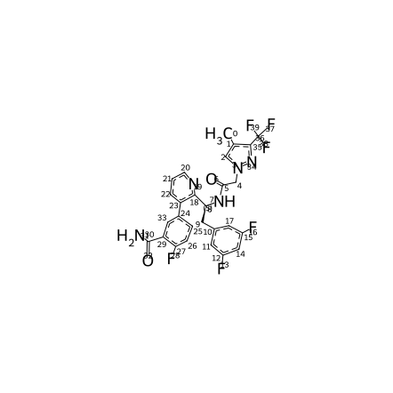 Cc1cn(CC(=O)N[C@@H](Cc2cc(F)cc(F)c2)c2ncccc2-c2ccc(F)c(C(N)=O)c2)nc1C(F)(F)F